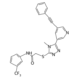 Cn1c(SCC(=O)Nc2cccc(C(F)(F)F)c2)nnc1-c1cncc(C#Cc2ccccc2)c1